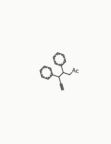 C#CC(c1ccccc1)C(CC(C)=O)c1ccccc1